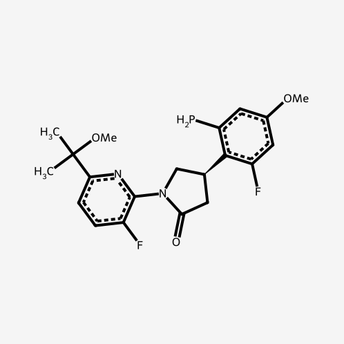 COc1cc(F)c([C@H]2CC(=O)N(c3nc(C(C)(C)OC)ccc3F)C2)c(P)c1